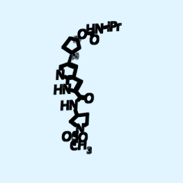 CC(C)NC(=O)O[C@@H]1CC[C@H](c2cnc3[nH]c(C(=O)NC4CCN(S(C)(=O)=O)C4)cc3c2)C1